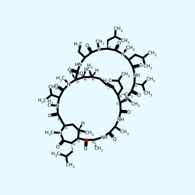 CCC1NC(=O)[C@@H]2[C@H](O)[C@H](C)C/C=C/[C@@](C)(CC(C)C)[C@@H](C(=O)NC(C)C(=O)N[C@H](C)C(=O)[C@@H]3[C@H](CC(C)C)C(=O)N(C)[C@@H](C[C@@H]3C)C(=O)N(C)C(C(C)C)C(=O)N2C)N(C)C(=O)[C@H](C(C)C)NC(=O)C(CC(C)C)N(C)C(=O)[C@H](CC(C)C)N(C)C1=O